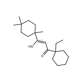 CCC1(C(=O)/C=C(\O)C2(C)CCC(C)(C)CC2)CCCCC1